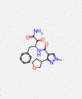 Cn1cc(C(=O)NC(Cc2ccccc2)C(=O)C(N)=O)c(C2CCOC2)n1